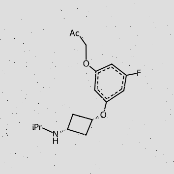 CC(=O)COc1cc(F)cc(O[C@H]2C[C@@H](NC(C)C)C2)c1